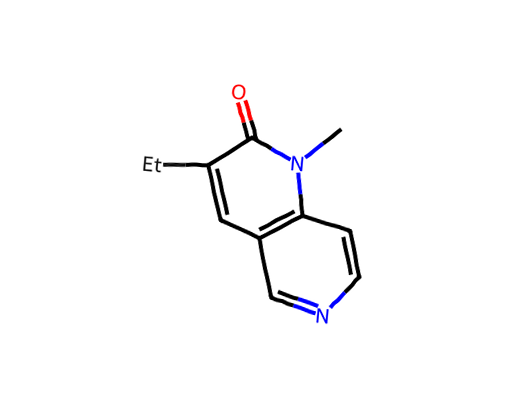 CCc1cc2cnccc2n(C)c1=O